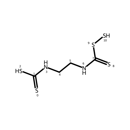 S=C(S)NCCNC(=S)SS